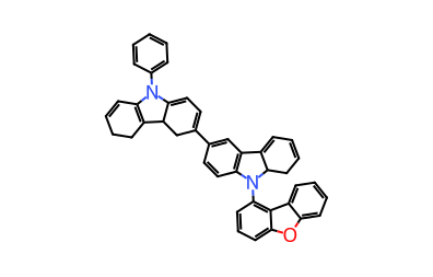 C1=CCC2C(=C1)c1cc(C3=CC=C4C(C3)C3=C(C=CCC3)N4c3ccccc3)ccc1N2c1cccc2oc3ccccc3c12